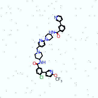 O=C(NC1CCN(Cc2ccc(N3CCC(NC(=O)c4cccc(-c5cccnc5)c4)CC3)nc2)CC1)c1ccc(Cl)c(-c2ccc(OC(F)(F)F)nc2)c1